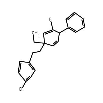 CCC1(CCc2ccc(Cl)cc2)C=CC(c2ccccc2)C(F)=C1